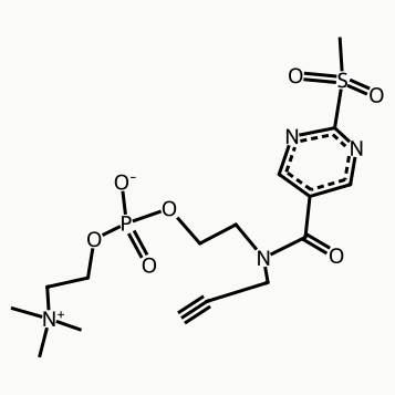 C#CCN(CCOP(=O)([O-])OCC[N+](C)(C)C)C(=O)c1cnc(S(C)(=O)=O)nc1